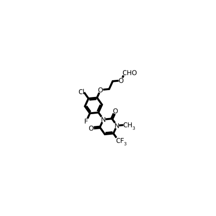 Cn1c(C(F)(F)F)cc(=O)n(-c2cc(OCCOC=O)c(Cl)cc2F)c1=O